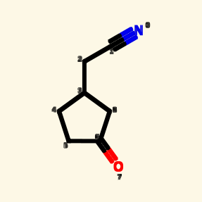 N#CCC1CCC(=O)C1